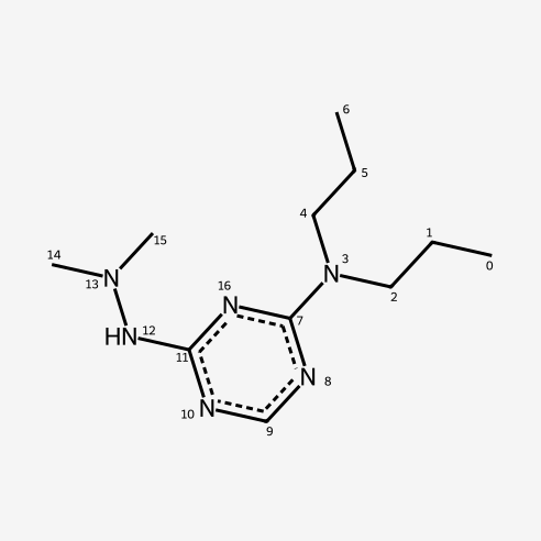 CCCN(CCC)c1ncnc(NN(C)C)n1